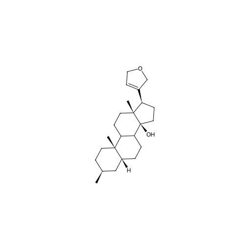 C[C@H]1CC[C@]2(C)C3CC[C@]4(C)[C@@H](C5=CCOC5)CC[C@]4(O)C3CC[C@@H]2C1